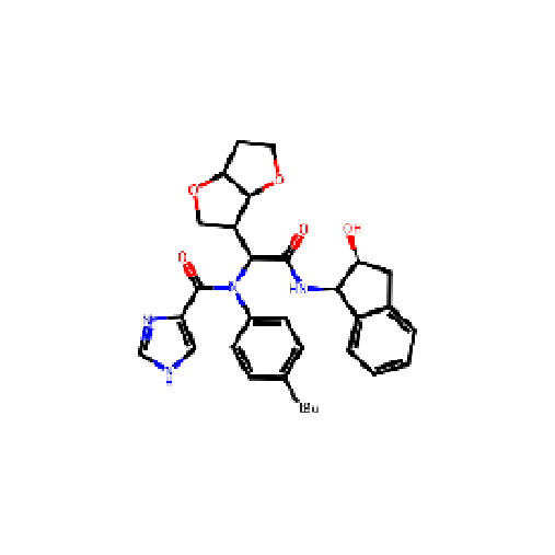 CC(C)(C)c1ccc(N(C(=O)c2c[nH]cn2)C(C(=O)N[C@@H]2c3ccccc3C[C@@H]2O)C2COC3CCOC32)cc1